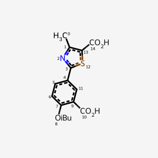 Cc1nc(-c2ccc(OCC(C)C)c(C(=O)O)c2)sc1C(=O)O